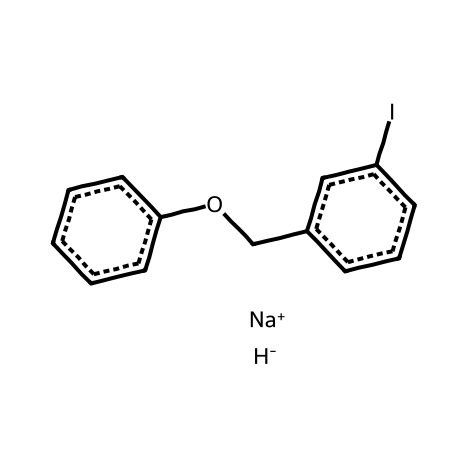 Ic1cccc(COc2ccccc2)c1.[H-].[Na+]